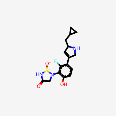 O=C1CN(c2c(O)ccc(C3=CC(CC4CC4)NC3)c2F)[S+]([O-])N1